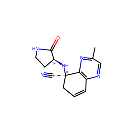 Cc1cnc2c(n1)[C@](C#N)(N[C@H]1CCNC1=O)CC=C2